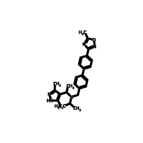 Cc1nc(-c2ccc(-c3ccc(CN(C(C)C)C(C)c4c(C)n[nH]c4C)cc3)cc2)no1